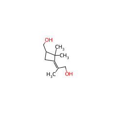 CC(CO)=C1CC(CO)C1(C)C